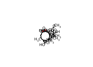 COCCN1C(=O)CC(C(CS)C(=O)N(C)[C@H](C)C(=O)O[C@H]2CC(=O)N(C)c3cc(cc(CO)c3Cl)C/C(C)=C/C=C/[C@@H](CO)[C@@]3(O)C[C@H](OC(=O)N3)[C@@H](C)[C@@H]3O[C@@]23C)C1=O